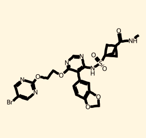 CNC(=O)C12CC(S(=O)(=O)Nc3ncnc(OCCOc4ncc(Br)cn4)c3-c3ccc4c(c3)OCO4)(C1)C2